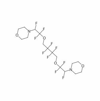 FC(N1CCOCC1)C(F)(F)OCC(F)(F)C(F)(F)COC(F)(F)C(F)N1CCOCC1